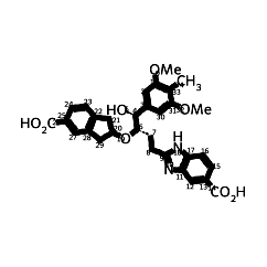 COc1cc([C@@H](O)[C@H](CCc2nc3cc(C(=O)O)ccc3[nH]2)OC2Cc3ccc(C(=O)O)cc3C2)cc(OC)c1C